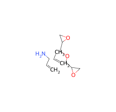 C(OCC1CO1)C1CO1.C=CC.C=CCN